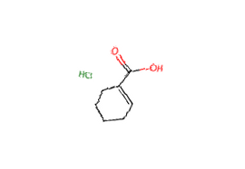 Cl.O=C(O)C1=CCCCC1